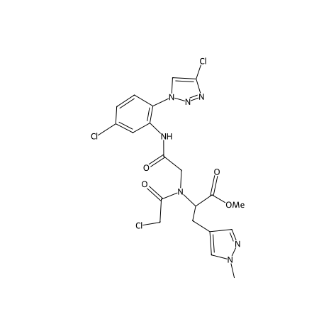 COC(=O)C(Cc1cnn(C)c1)N(CC(=O)Nc1cc(Cl)ccc1-n1cc(Cl)nn1)C(=O)CCl